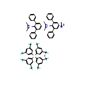 CC#N.CC1C(C)N1c1c(-c2ccccc2)cccc1-c1ccccc1.CC1C(C)N1c1c(-c2ccccc2)cccc1-c1ccccc1.FC(F)(F)c1cc([B-](c2cc(C(F)(F)F)cc(C(F)(F)F)c2)(c2cc(C(F)(F)F)cc(C(F)(F)F)c2)c2cc(C(F)(F)F)cc(C(F)(F)F)c2)cc(C(F)(F)F)c1.[CH3][Pd+]